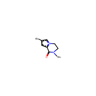 CC(C)(C)c1cc2n(c1)CCN(C(C)(C)C)C2=O